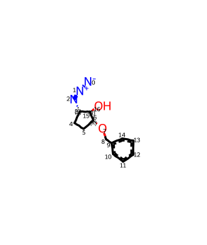 [N-]=[N+]=N[C@H]1CC[C@@H](OCc2ccccc2)[C@@H]1O